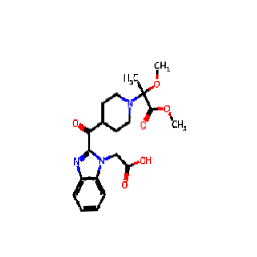 COC(=O)C(C)(OC)N1CCC(C(=O)c2nc3ccccc3n2CC(=O)O)CC1